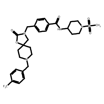 CS(=O)(=O)N1CCC(NC(=O)c2ccc(CN3CC4(CCN(Cc5ccc(C(F)(F)F)cc5)CC4)OC3=O)cc2)CC1